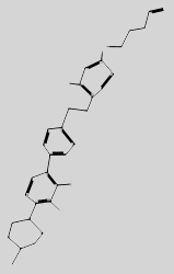 C=CCCCOc1ccc(CCc2ccc(-c3ccc(C4CCC(C)CC4)c(F)c3F)cc2)c(F)c1